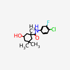 CC1(C)CC(O)CC(C)(C(=O)Nc2ccc(Cl)c(F)c2)C1